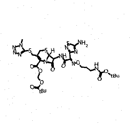 Cn1nnnc1SCC1=C(C(=O)OCOC(=O)C(C)(C)C)N2C(=O)C(NC(=O)/C(=N/OCCCNC(=O)OC(C)(C)C)c3nsc(N)n3)[C@H]2SC1